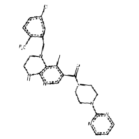 Cc1c(C(=O)N2CCN(c3ncccn3)CC2)cnc2c1N(Cc1cc(Cl)ccc1C(F)(F)F)CCN2